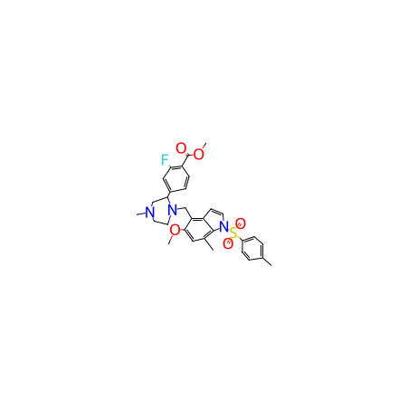 COC(=O)c1ccc(C2CN(C)CCN2Cc2c(OC)cc(C)c3c2ccn3S(=O)(=O)c2ccc(C)cc2)cc1F